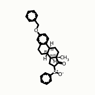 C[C@]12CC[C@@H]3c4ccc(OCc5ccccc5)cc4CC[C@H]3[C@@H]1CC([S+]([O-])c1ccccc1)C2=O